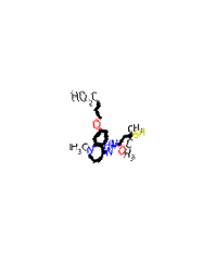 CN1CCC/C(=N/NC(=O)CC(C)(C)S)c2ccc(OCCCC(=O)O)cc21